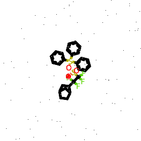 O=S(=O)(OS(c1ccccc1)(c1ccccc1)c1ccccc1)C(F)(F)C(F)(F)C1CC2CCC1C2